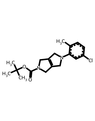 Cc1ccc(Cl)cc1N1CC2=C(CN(C(=O)OC(C)(C)C)C2)C1